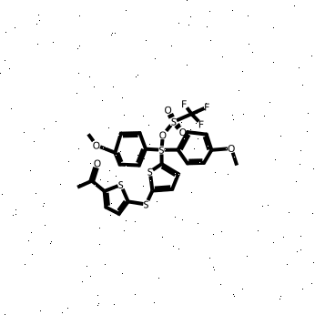 COc1ccc(S(OS(=O)(=O)C(F)(F)F)(c2ccc(OC)cc2)c2ccc(Sc3ccc(C(C)=O)s3)s2)cc1